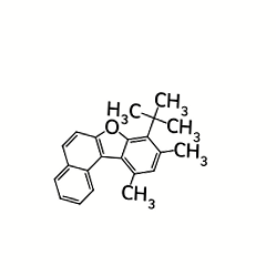 Cc1cc(C)c2c(oc3ccc4ccccc4c32)c1C(C)(C)C